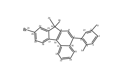 Cc1ccc(C)c(-c2cc3c(c4ccccc24)-c2ccc(Br)cc2C3(C)C)c1